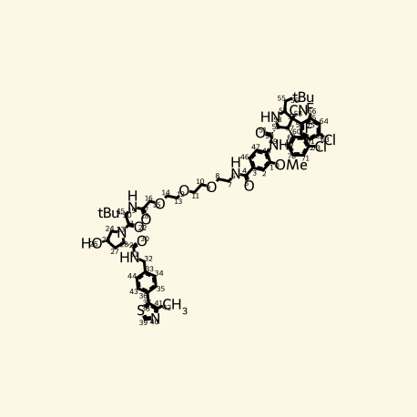 COc1cc(C(=O)NCCOCCOCCOCC(=O)N[C@H](C(=O)N2C[C@H](O)C[C@H]2C(=O)NCc2ccc(-c3scnc3C)cc2)C(C)(C)C)ccc1NC(=O)[C@@H]1NC(CC(C)(C)C)C(C#N)(c2ccc(Cl)cc2F)[C@H]1c1cccc(Cl)c1F